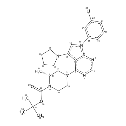 C[C@@H]1CN(c2ncnc3c2c(N2CCCC2)cn3-c2cccc(Cl)c2)CCN1C(=O)OC(C)(C)C